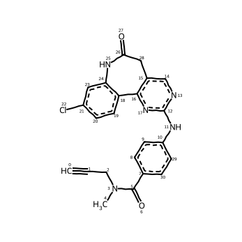 C#CCN(C)C(=O)c1ccc(Nc2ncc3c(n2)-c2ccc(Cl)cc2NC(=O)C3)cc1